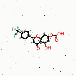 O=C(O)Oc1cc(O)c2c(=O)cc(-c3ccc(C(F)(F)F)cc3)oc2c1